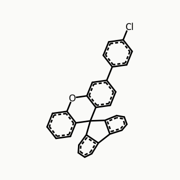 Clc1ccc(-c2ccc3c(c2)Oc2ccccc2C32c3ccccc3-c3ccccc32)cc1